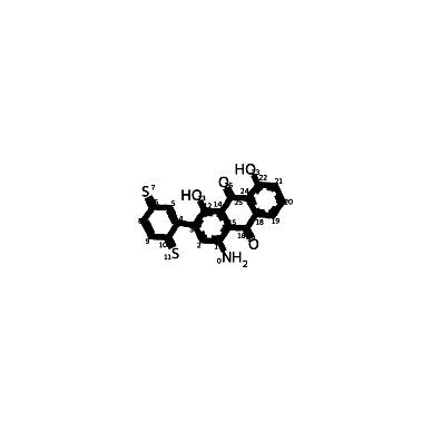 Nc1cc(C2=CC(=S)C=CC2=S)c(O)c2c1C(=O)c1cccc(O)c1C2=O